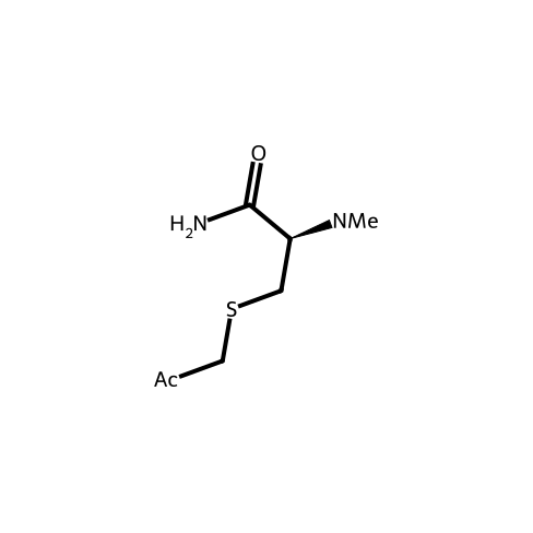 CN[C@@H](CSCC(C)=O)C(N)=O